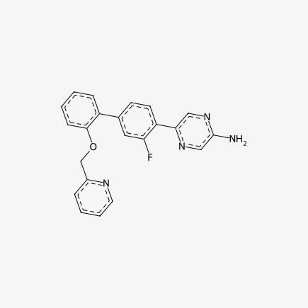 Nc1cnc(-c2ccc(-c3ccccc3OCc3ccccn3)cc2F)cn1